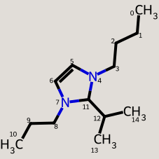 CCCCN1C=CN(CCC)C1C(C)C